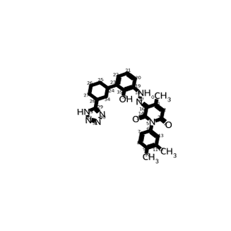 CC1=CC(=O)N(c2ccc(C)c(C)c2)C(=O)/C1=N/Nc1cccc(C2CCCC(c3nnn[nH]3)C2)c1O